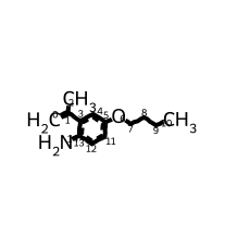 C=C(C)c1cc(OCCCC)ccc1N